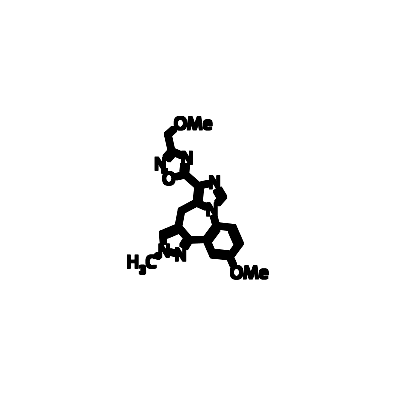 COCc1noc(-c2ncn3c2Cc2cn(C)nc2-c2cc(OC)ccc2-3)n1